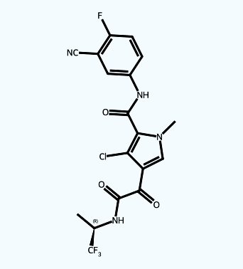 C[C@@H](NC(=O)C(=O)c1cn(C)c(C(=O)Nc2ccc(F)c(C#N)c2)c1Cl)C(F)(F)F